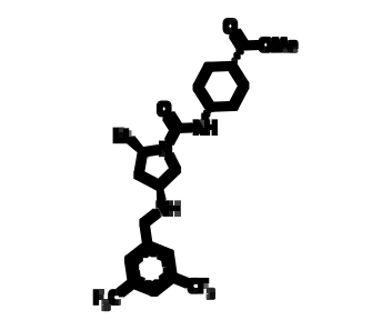 CC[C@@H]1C[C@H](NCc2cc(C(F)(F)F)cc(C(F)(F)F)c2)CN1C(=O)N[C@H]1CC[C@@H](C(=O)OC)CC1